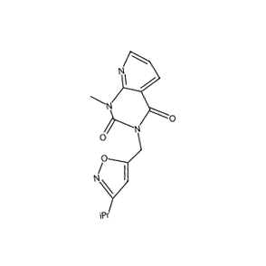 CC(C)c1cc(Cn2c(=O)c3cccnc3n(C)c2=O)on1